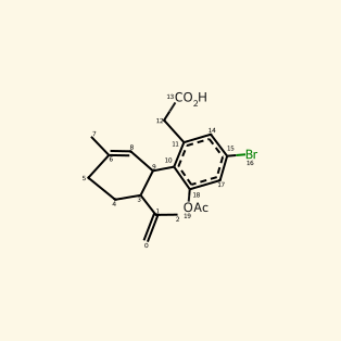 C=C(C)C1CCC(C)=CC1c1c(CC(=O)O)cc(Br)cc1OC(C)=O